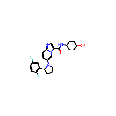 O=C(NC1CCC(O)CC1)c1cnc2ccc(N3CCC[C@H]3c3cc(F)ccc3F)cn12